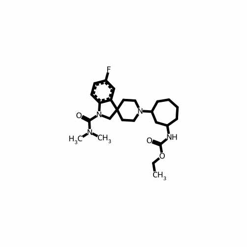 CCOC(=O)NC1CCCCC(N2CCC3(CC2)CN(C(=O)N(C)C)c2ccc(F)cc23)C1